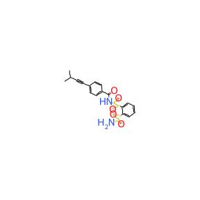 CC(C)C#Cc1ccc(C(=O)NS(=O)(=O)c2ccccc2S(N)(=O)=O)cc1